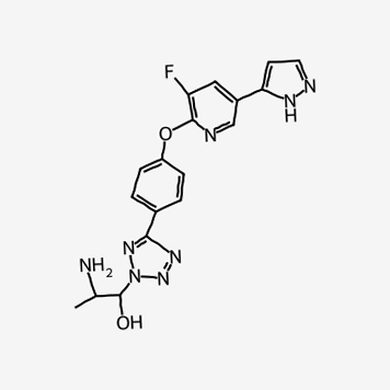 CC(N)C(O)n1nnc(-c2ccc(Oc3ncc(-c4ccn[nH]4)cc3F)cc2)n1